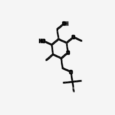 COC1OC(COC(C)(C)C)C(C)C(O)C1CO